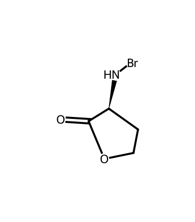 O=C1OCC[C@@H]1NBr